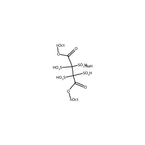 CCCCCCCCOC(=O)C(C(C(=O)OCCCCCCCC)(S(=O)(=O)O)S(=O)(=O)O)(S(=O)(=O)O)S(=O)(=O)O.[NaH]